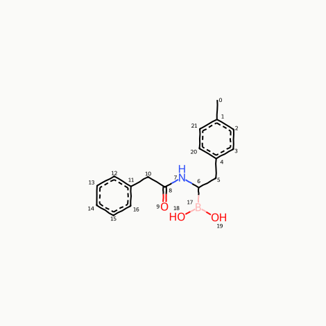 Cc1ccc(CC(NC(=O)Cc2ccccc2)B(O)O)cc1